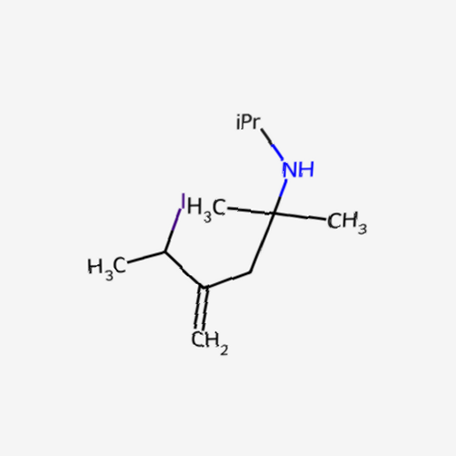 C=C(CC(C)(C)NC(C)C)C(C)I